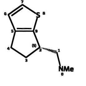 CNC[C@@H]1CCc2ccsc21